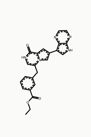 CCOC(=O)c1cccc(Cc2c[nH]c(=O)c3cc(-c4c[nH]c5nccnc45)cn23)c1